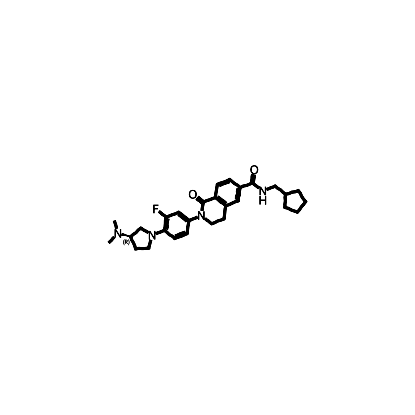 CN(C)[C@@H]1CCN(c2ccc(N3CCc4cc(C(=O)NCC5CCCC5)ccc4C3=O)cc2F)C1